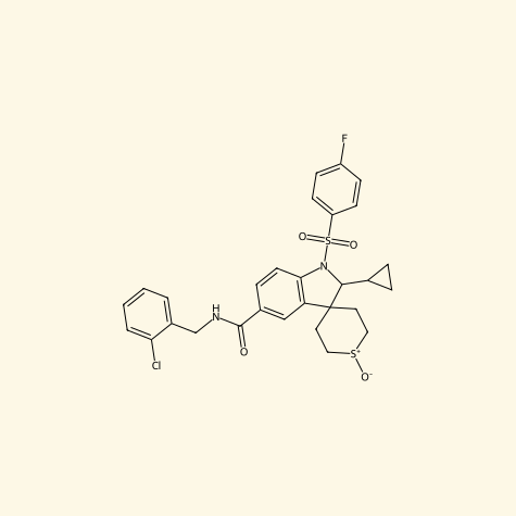 O=C(NCc1ccccc1Cl)c1ccc2c(c1)C1(CC[S+]([O-])CC1)C(C1CC1)N2S(=O)(=O)c1ccc(F)cc1